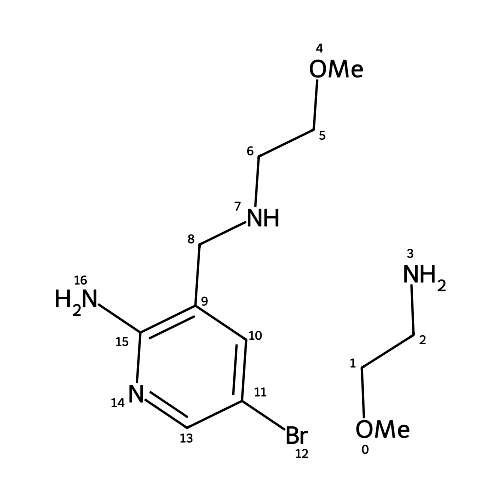 COCCN.COCCNCc1cc(Br)cnc1N